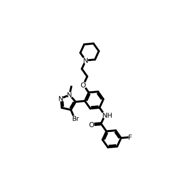 Cn1ncc(Br)c1-c1cc(NC(=O)c2cccc(F)c2)ccc1OCCN1CCCCC1